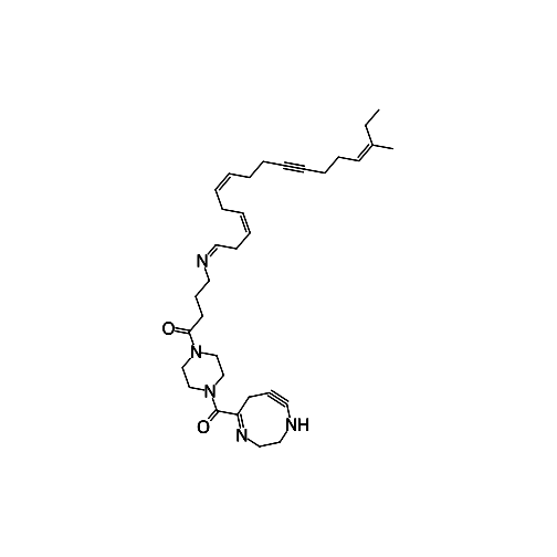 CC/C(C)=C\CCC#CCC/C=C\C/C=C\C/C=N\CCCC(=O)N1CCN(C(=O)/C2=N/CCNC#CC2)CC1